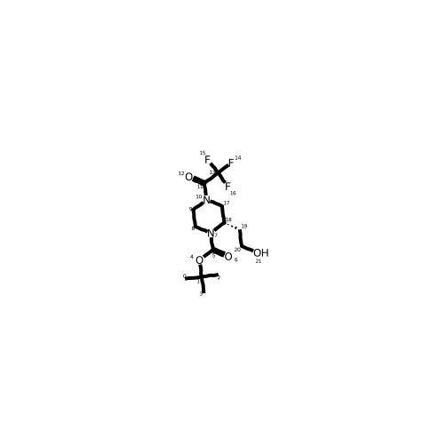 CC(C)(C)OC(=O)N1CCN(C(=O)C(F)(F)F)C[C@@H]1CCO